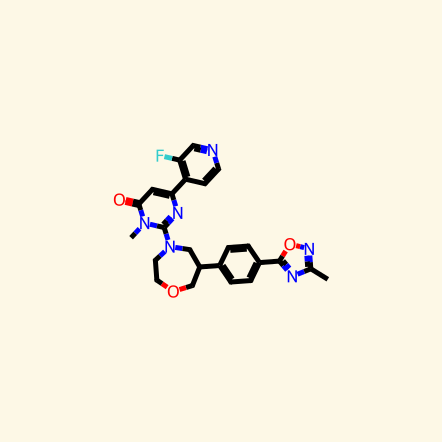 Cc1noc(-c2ccc(C3COCCN(c4nc(-c5ccncc5F)cc(=O)n4C)C3)cc2)n1